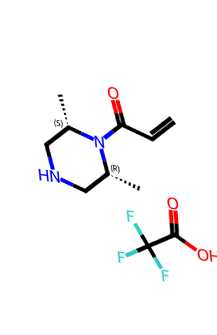 C=CC(=O)N1[C@H](C)CNC[C@@H]1C.O=C(O)C(F)(F)F